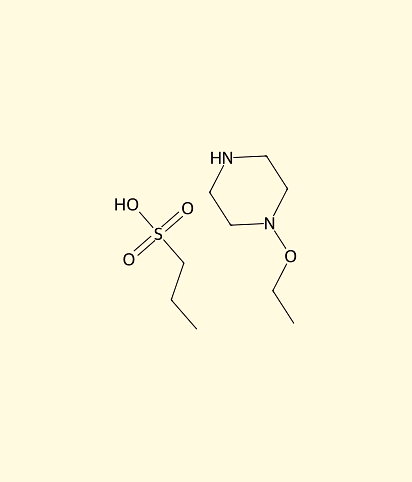 CCCS(=O)(=O)O.CCON1CCNCC1